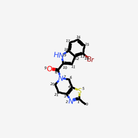 Cc1nc2c(s1)CN(C(=O)c1cc3c(Br)cccc3[nH]1)CC2